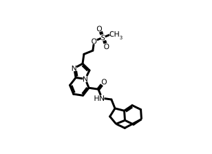 CS(=O)(=O)OCCc1cn2c(C(=O)NCC3CC4CC5CC=C3C4C5)cccc2n1